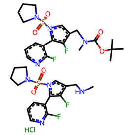 CN(Cc1cn(S(=O)(=O)N2CCCC2)c(-c2cccnc2F)c1F)C(=O)OC(C)(C)C.CNCc1cn(S(=O)(=O)N2CCCC2)c(-c2cccnc2F)c1F.Cl